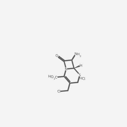 Cl.NC1C(=O)N2C(C(=O)O)=C(CCl)CS[C@@H]12